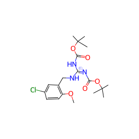 COc1ccc(Cl)cc1CN/C(=N\C(=O)OC(C)(C)C)NC(=O)OC(C)(C)C